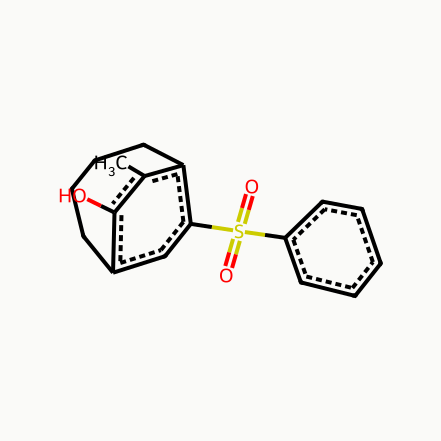 Cc1c(O)c2cc(S(=O)(=O)c3ccccc3)c1CCCC2